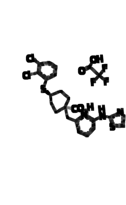 O=C(O)C(F)(F)F.O=C(O)[C@]1(Cc2cccc(Nc3nccs3)n2)CC[C@@H](Sc2cccc(Cl)c2Cl)CC1